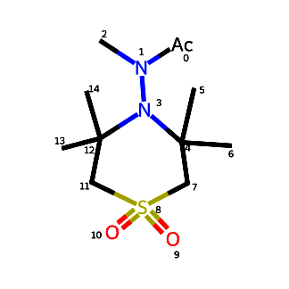 CC(=O)N(C)N1C(C)(C)CS(=O)(=O)CC1(C)C